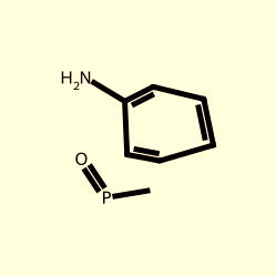 CP=O.Nc1ccccc1